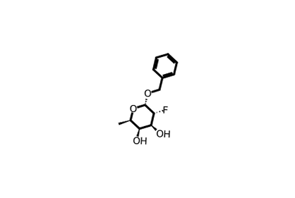 C[C@H]1O[C@H](OCc2ccccc2)[C@H](F)[C@@H](O)[C@H]1O